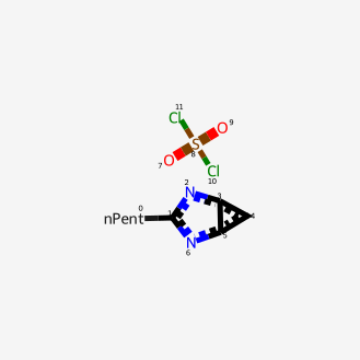 CCCCCc1nc2cc-2n1.O=S(=O)(Cl)Cl